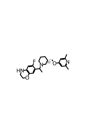 Cc1cc(OC[C@H]2CCCN(C(C)c3cc4c(cc3F)NCCO4)C2)cc(C)n1